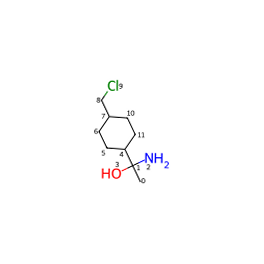 CC(N)(O)C1CCC(CCl)CC1